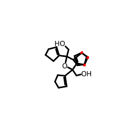 OCC(OC(CO)(C1=CCCC1)C1=CCCC1)(C1=CCCC1)C1=CCCC1